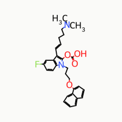 CN(C)CCC/C=C/c1c(OC(=O)O)n(CCCOc2cccc3ccccc23)c2ccc(F)cc12